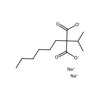 CCCCCCC(C(=O)[O-])(C(=O)[O-])C(C)C.[Na+].[Na+]